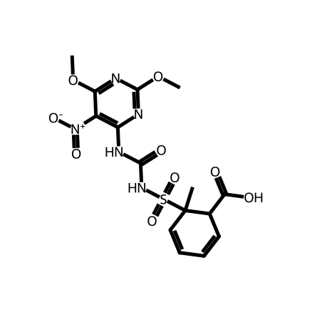 COc1nc(NC(=O)NS(=O)(=O)C2(C)C=CC=CC2C(=O)O)c([N+](=O)[O-])c(OC)n1